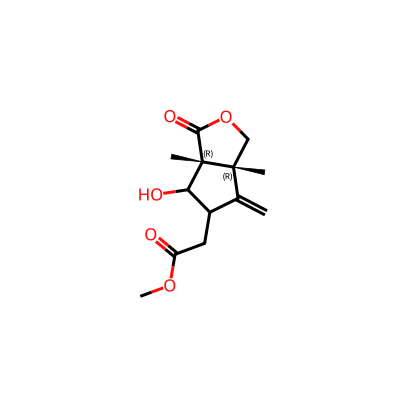 C=C1C(CC(=O)OC)C(O)[C@]2(C)C(=O)OC[C@]12C